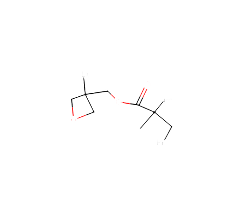 CCC1(COC(=O)C(C)(CC(C)C)C(C)C)COC1